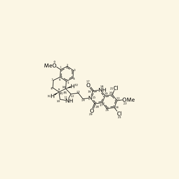 COc1cccc2c1CC[C@H]1CNC(CCn3c(=O)[nH]c4c(Cl)c(OC)c(Cl)cc4c3=O)[C@@H]21